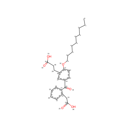 CCCCCCCCCCOc1ccc(C(=O)c2ccccc2CC(=O)O)cc1CCC(=O)O